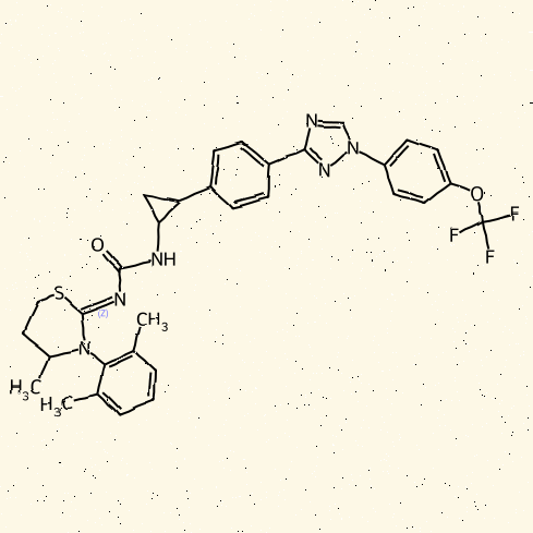 Cc1cccc(C)c1N1/C(=N/C(=O)NC2CC2c2ccc(-c3ncn(-c4ccc(OC(F)(F)F)cc4)n3)cc2)SCCC1C